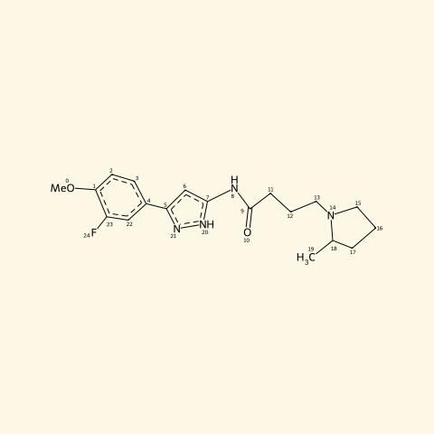 COc1ccc(-c2cc(NC(=O)CCCN3CCCC3C)[nH]n2)cc1F